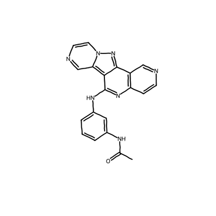 CC(=O)Nc1cccc(Nc2nc3ccncc3c3nn4ccncc4c23)c1